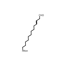 CCCCCCCCCCCCCCCCCCC=CCC=O